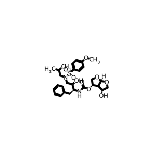 COc1ccc(S(=O)(=O)N(CC(C)C)CC(O)[C@H](Cc2ccccc2)NC(=O)O[C@H]2CO[C@H]3OC[C@@H](O)C32)cc1